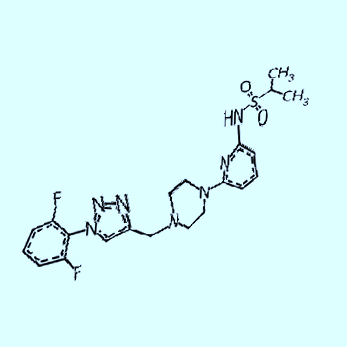 CC(C)S(=O)(=O)Nc1cccc(N2CCN(Cc3cn(-c4c(F)cccc4F)nn3)CC2)n1